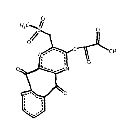 CC(=O)C(=O)Cc1nc2c(nc1CS(C)(=O)=O)C(=O)c1ccccc1C2=O